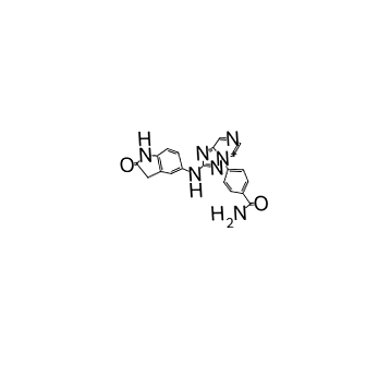 NC(=O)c1ccc([N+]23C=CN=CC2=NC(Nc2ccc4c(c2)CC(=O)N4)=N3)cc1